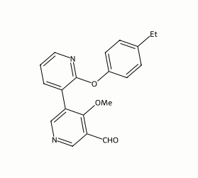 CCc1ccc(Oc2ncccc2-c2cncc(C=O)c2OC)cc1